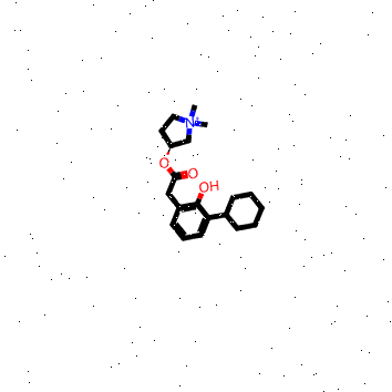 C[N+]1(C)CC[C@@H](OC(=O)Cc2cccc(C3CCCCC3)c2O)C1